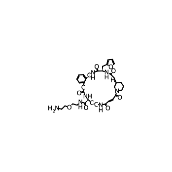 NCCOCCNC(=O)[C@@H]1CCNC(=O)/C=C/C(=O)N2CCC[C@H](CC(=O)N[C@H](Cc3ccco3)C(=O)NCc3ccccc3CC(=O)N1)C2